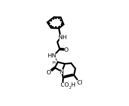 O=C(CNc1ccccc1)N[C@H]1C(=O)N2C(C(=O)O)=C(Cl)CCC12